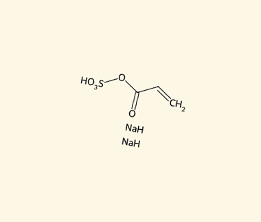 C=CC(=O)OS(=O)(=O)O.[NaH].[NaH]